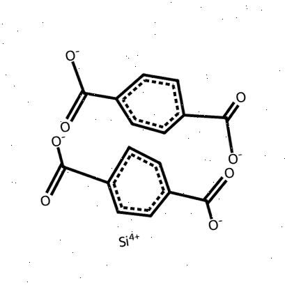 O=C([O-])c1ccc(C(=O)[O-])cc1.O=C([O-])c1ccc(C(=O)[O-])cc1.[Si+4]